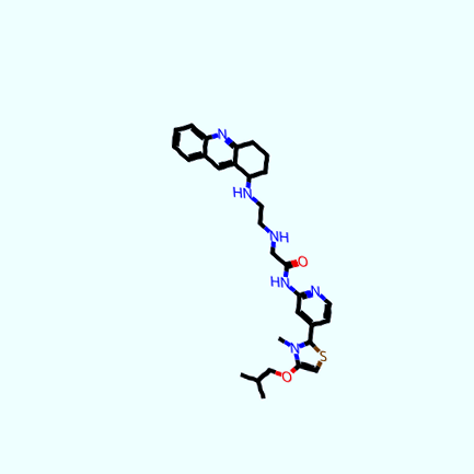 CC(C)COC1=CSC(c2ccnc(NC(=O)CNCCNC3CCCc4nc5ccccc5cc43)c2)N1C